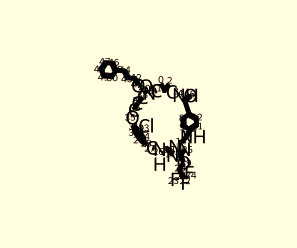 CC1(C)CNC(=O)c2ccc(cc2)Nc2nc(nc(OCC(F)(F)F)n2)NCc2ccc(c(Cl)c2)OCCCN(OOC/C=C/c2ccccc2)C1